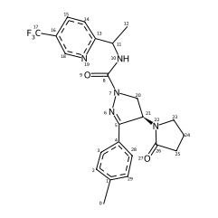 Cc1ccc(C2=NN(C(=O)NC(C)c3ccc(C(F)(F)F)cn3)C[C@H]2N2CCCC2=O)cc1